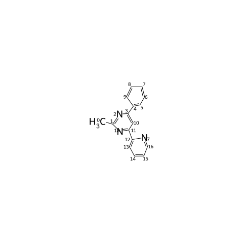 Cc1nc(-c2ccccc2)cc(-c2ccccn2)n1